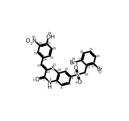 O=C1Nc2ccc(S(=O)(=O)Cc3c(Br)cccc3Br)cc2S/C1=C\c1ccc(O)c([N+](=O)[O-])c1